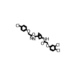 O=C(COc1ccc(Cl)c(Cl)c1)NC1CC2(c3nnc(COc4ccc(Cl)cc4)o3)CC12